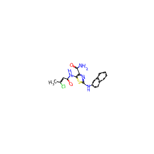 CC(Cl)=CC(=O)Nc1sc(Nc2ccc3ccccc3c2)nc1C(N)=O